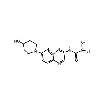 CCN(S)C(=O)Nc1cnc2ccc(N3CCC(O)CC3)nc2n1